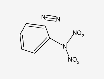 N#N.O=[N+]([O-])N(c1ccccc1)[N+](=O)[O-]